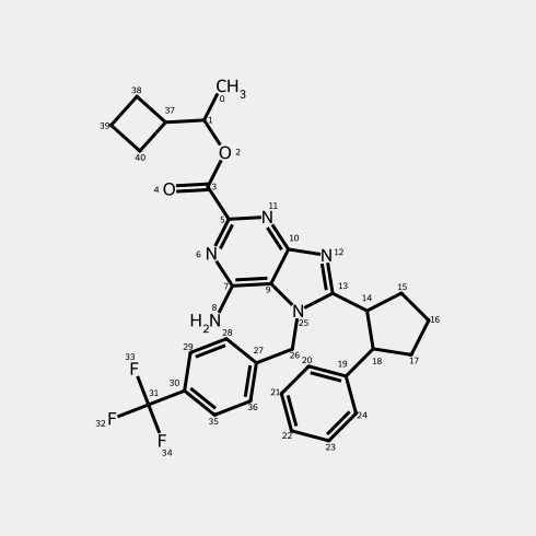 CC(OC(=O)c1nc(N)c2c(n1)nc(C1CCCC1c1ccccc1)n2Cc1ccc(C(F)(F)F)cc1)C1CCC1